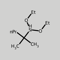 CCCC(C)(C)[SiH](OCC)OCC